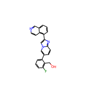 OCc1c(F)cccc1-c1ccc2nc(-c3cccc4cnccc34)cn2c1